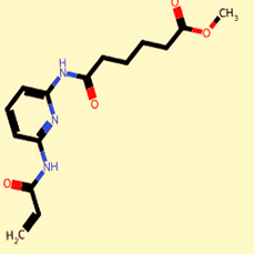 C=CC(=O)Nc1cccc(NC(=O)CCCCC(=O)OC)n1